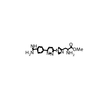 COC(=O)C(N)Cc1cn(-c2ccc(-c3ccc(C(=N)N)cc3)nn2)cn1